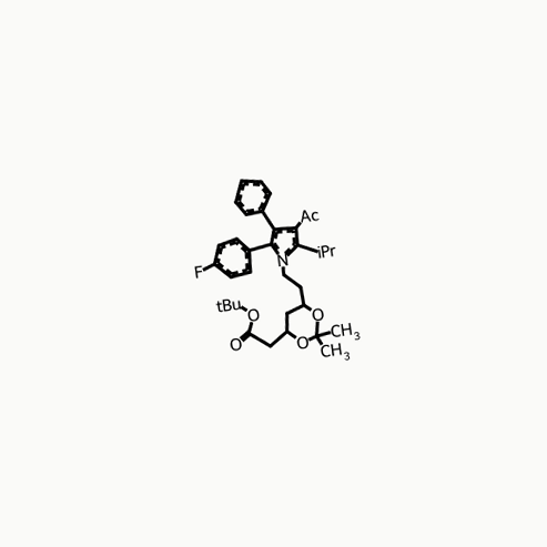 CC(=O)c1c(-c2ccccc2)c(-c2ccc(F)cc2)n(CCC2CC(CC(=O)OC(C)(C)C)OC(C)(C)O2)c1C(C)C